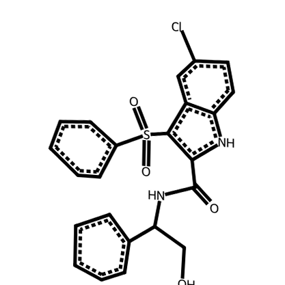 O=C(NC(CO)c1ccccc1)c1[nH]c2ccc(Cl)cc2c1S(=O)(=O)c1ccccc1